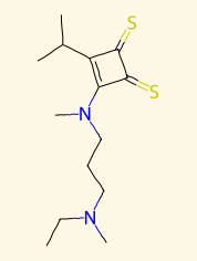 CCN(C)CCCN(C)c1c(C(C)C)c(=S)c1=S